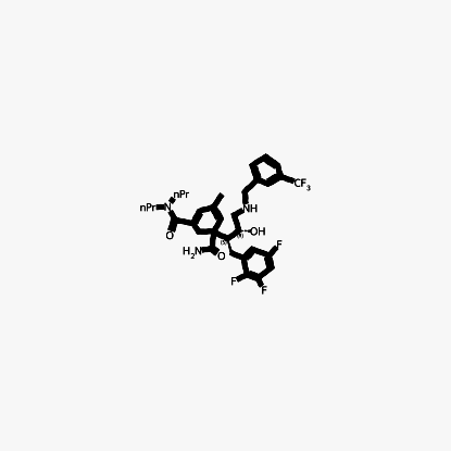 CCCN(CCC)C(=O)C1=CC(C)=CC(C(N)=O)([C@H](Cc2cc(F)cc(F)c2F)[C@@H](O)CNCc2cccc(C(F)(F)F)c2)C1